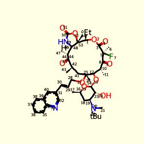 CC[C@H]1OC(=O)[C@@](C)(F)C(=O)[C@H](C)[C@@H](O[C@@H]2O[C@H](C)C[C@H](N(C)C(C)(C)C)[C@H]2O)[C@](C)(OC/C=C/c2cnc3ccccc3c2)C[C@@H](C)C(=O)[C@H](C)[C@H]2NC(=O)O[C@@]21C